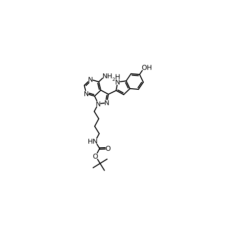 CC(C)(C)OC(=O)NCCCCn1nc(-c2cc3ccc(O)cc3[nH]2)c2c(N)ncnc21